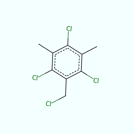 Cc1c(Cl)c(C)c(Cl)c(CCl)c1Cl